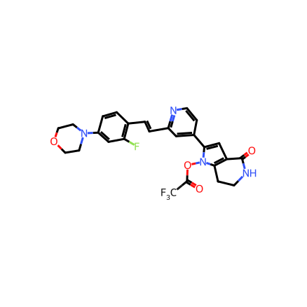 O=C1NCCc2c1cc(-c1ccnc(C=Cc3ccc(N4CCOCC4)cc3F)c1)n2OC(=O)C(F)(F)F